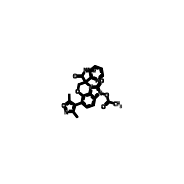 CNC(=O)C1(c2ccccn2)COc2c(-c3c(C)noc3C)ccc3c2n1c(=O)n3OC(=O)C(F)(F)F